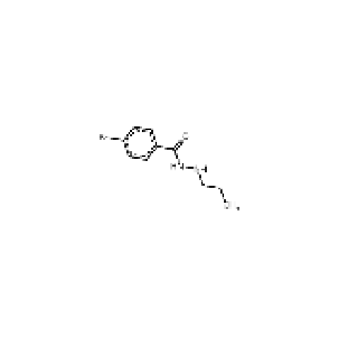 CCCNNC(=O)c1ccc(Br)cc1